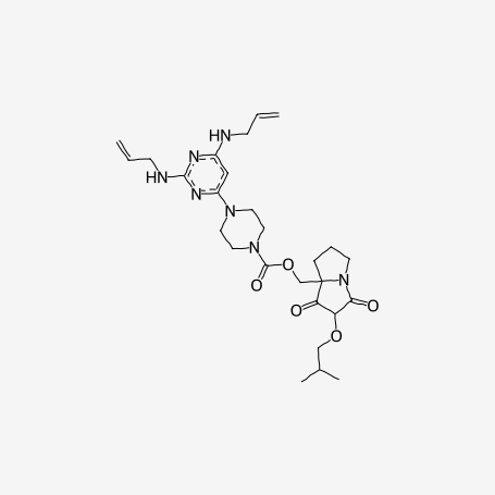 C=CCNc1cc(N2CCN(C(=O)OCC34CCCN3C(=O)C(OCC(C)C)C4=O)CC2)nc(NCC=C)n1